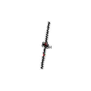 CCCCCCCCCCCCCCCCCCCCCC/C(C(=O)O)=C(/CCCCCCCCCCCCCCCCCCCCCC)C(=O)O